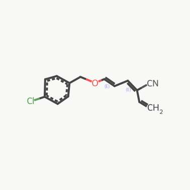 C=C/C(C#N)=C\C=C\OCc1ccc(Cl)cc1